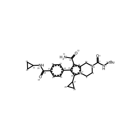 CC(C)(C)NC(=O)N1CCn2c(c(C(N)=O)c(-c3ccc(C(=O)NC4CC4)cc3)c2C2CC2)C1